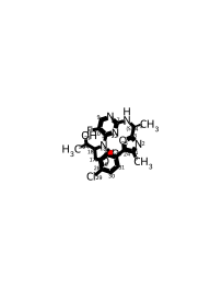 Cc1nc([C@H](C)Nc2ncc(F)c(N3C(=O)OCC3[C@@H](C)O)n2)oc1-c1ccc(Cl)cc1